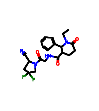 CCN1C(=O)CCC(C(=O)NCC(=O)N2CC(F)(F)CC2C#N)C1c1ccccc1